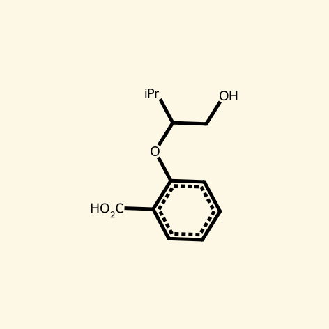 CC(C)C(CO)Oc1ccccc1C(=O)O